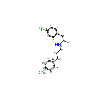 CC(Cc1ccc(F)cc1)NCCCc1ccc(Cl)cc1